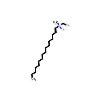 CCCCCCCCCCCCCCC=C[N+](C)(C)CC